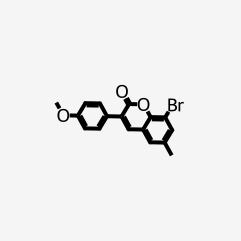 COc1ccc(-c2cc3cc(C)cc(Br)c3oc2=O)cc1